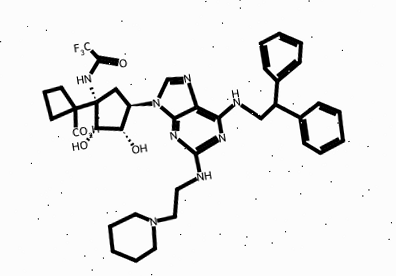 O=C(N[C@]1(C2(C(=O)O)CCC2)C[C@@H](n2cnc3c(NCC(c4ccccc4)c4ccccc4)nc(NCCN4CCCCC4)nc32)[C@H](O)[C@@H]1O)C(F)(F)F